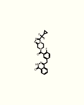 O=C(c1cc(Cc2n[nH]c(=O)c3ccccc23)ccc1F)N1CCn2c(nnc2C(F)(F)C2CC2)C1